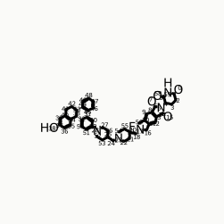 O=C1CCC(N2C(=O)c3cc4c(cc3C2=O)CN(CC2(F)CCN(CC3CCN(c5ccc([C@@H]6c7ccc(O)cc7CC[C@@H]6c6ccccc6)cc5)CC3)CC2)C4)C(=O)N1